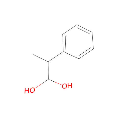 CC(c1ccccc1)C(O)O